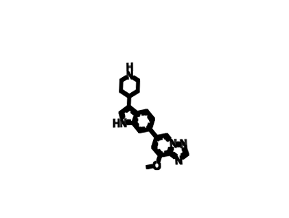 COc1cc(-c2ccc3c(C4CCNCC4)c[nH]c3c2)cn2ncnc12